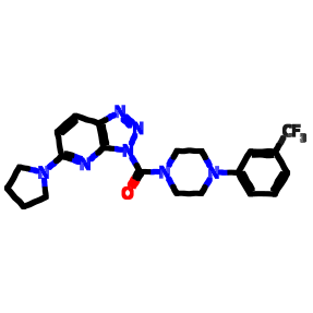 O=C(N1CCN(c2cccc(C(F)(F)F)c2)CC1)n1nnc2ccc(N3CCCC3)nc21